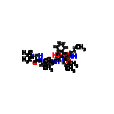 CCCCNS(=O)(=O)N(CC(C)C)C(O)(CCNC(=O)CC(C)(C)CNC(=O)CN(C)C)Cc1ccccc1